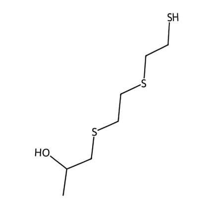 CC(O)CSCCSCCS